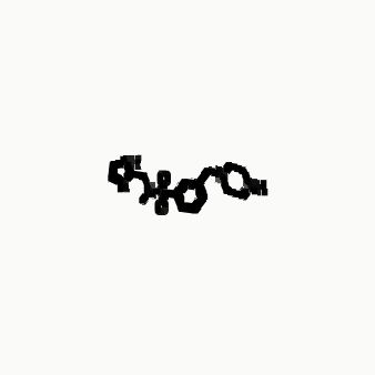 CN(Cc1ncc[nH]1)S(=O)(=O)c1cccc(CN2CCNCC2)c1